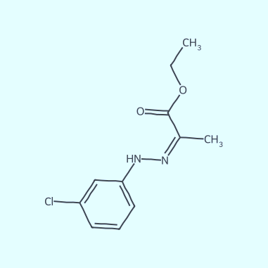 CCOC(=O)C(C)=NNc1cccc(Cl)c1